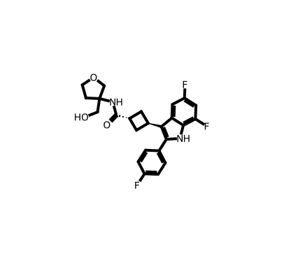 O=C(NC1(CO)CCOC1)[C@H]1C[C@H](c2c(-c3ccc(F)cc3)[nH]c3c(F)cc(F)cc32)C1